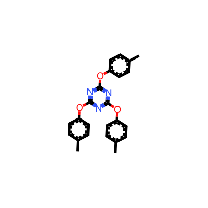 Cc1ccc(Oc2nc(Oc3ccc(C)cc3)nc(Oc3ccc(C)cc3)n2)cc1